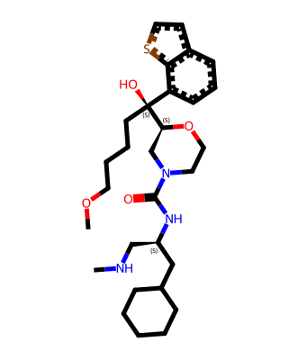 CNC[C@H](CC1CCCCC1)NC(=O)N1CCO[C@H]([C@](O)(CCCCOC)c2cccc3ccsc23)C1